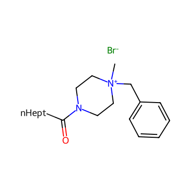 CCCCCCCC(=O)N1CC[N+](C)(Cc2ccccc2)CC1.[Br-]